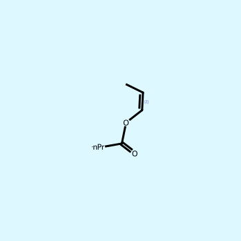 C/C=C\OC(=O)[CH]CC